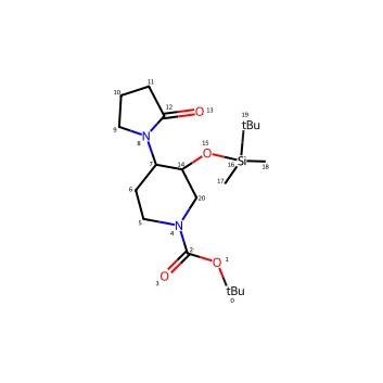 CC(C)(C)OC(=O)N1CCC(N2CCCC2=O)C(O[Si](C)(C)C(C)(C)C)C1